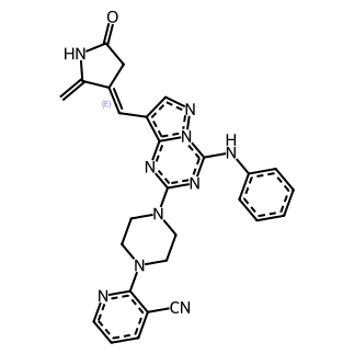 C=C1NC(=O)C/C1=C\c1cnn2c(Nc3ccccc3)nc(N3CCN(c4ncccc4C#N)CC3)nc12